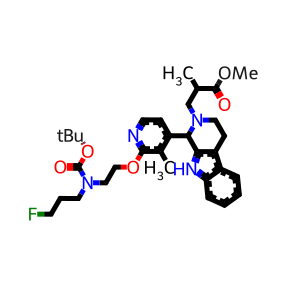 COC(=O)C(C)CN1CCc2c([nH]c3ccccc23)C1c1ccnc(OCCN(CCCF)C(=O)OC(C)(C)C)c1C